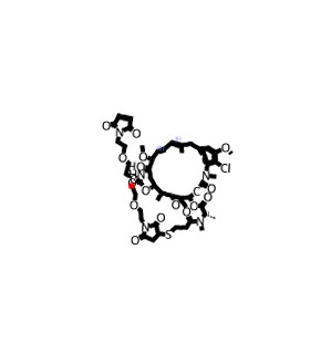 COc1cc2cc(c1Cl)N(C)C(=O)CC(OC(=O)[C@H](C)N(C)C(=O)CCSC1CC(=O)N(CCOCCOCCOCCN3C(=O)C=CC3=O)C1=O)C1(C)OC1C(C)C1CC(O)(NC(=O)O1)C(OC)/C=C/C=C(\C)C2